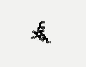 CCCn1c(=O)n(CC(O)CO)c(=O)n(CC(O)CO)c1=O